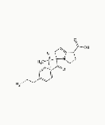 CCCc1ccc(C(=O)C2(S(C)(=O)=O)CC=C3C(C(=O)O)CCN32)cc1